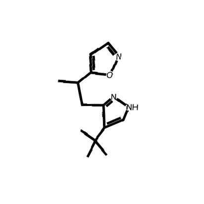 CC(Cc1n[nH]cc1C(C)(C)C)c1ccno1